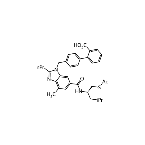 CCCc1nc2c(C)cc(C(=O)N[C@@H](CSC(C)=O)CC(C)C)cc2n1Cc1ccc(-c2ccccc2C(=O)O)cc1